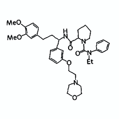 CCN(C(=O)N1CCCCC1C(=O)NC(CCc1ccc(OC)c(OC)c1)c1cccc(OCCN2CCOCC2)c1)c1ccccc1